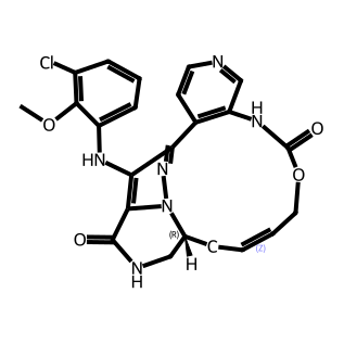 COc1c(Cl)cccc1Nc1c2nn3c1C(=O)NC[C@H]3C/C=C\COC(=O)Nc1cnccc1-2